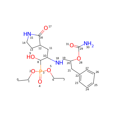 CCOP(=O)(OCC)C(O)C(CC1CCNC1=O)NCC(Cc1ccccc1)OC(N)=O